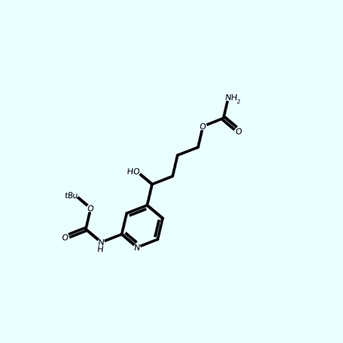 CC(C)(C)OC(=O)Nc1cc(C(O)CCCOC(N)=O)ccn1